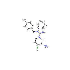 N#Cc1ccc(Cn2c(N3CC[C@H](F)[C@@H](N)C3)nc3ccccc32)cc1